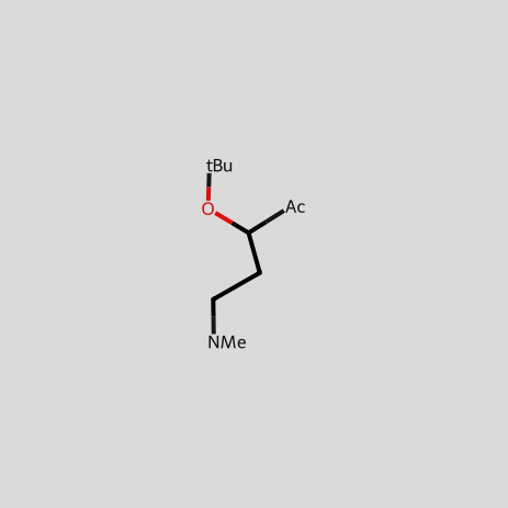 CNCCC(OC(C)(C)C)C(C)=O